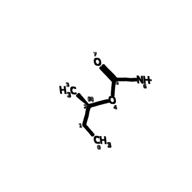 CC[C@@H](C)OC([NH])=O